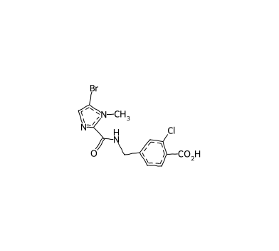 Cn1c(Br)cnc1C(=O)NCc1ccc(C(=O)O)c(Cl)c1